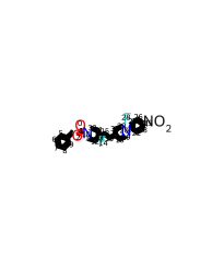 O=C(OCc1ccccc1)N1CCC(F)(CCC2CCN(c3ccc([N+](=O)[O-])cc3F)CC2)CC1